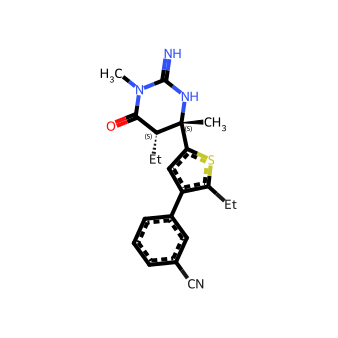 CCc1sc([C@@]2(C)NC(=N)N(C)C(=O)[C@H]2CC)cc1-c1cccc(C#N)c1